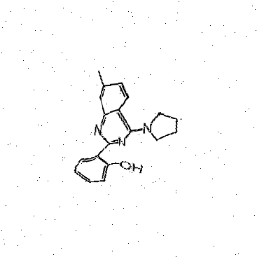 Cc1ccc2c(N3C[CH]CC3)nc(-c3ccccc3O)nc2c1